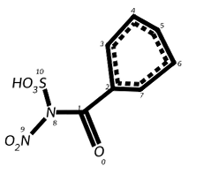 O=C(c1ccccc1)N([N+](=O)[O-])S(=O)(=O)O